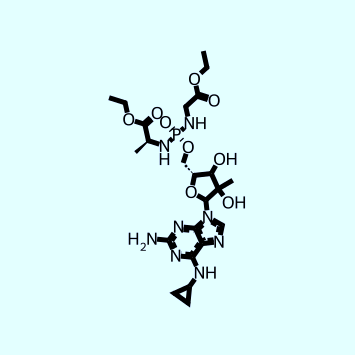 CCOC(=O)CNP(=O)(N[C@@H](C)C(=O)OCC)OC[C@H]1OC(n2cnc3c(NC4CC4)nc(N)nc32)C(C)(O)C1O